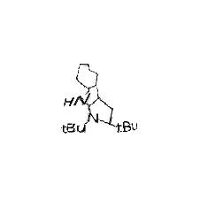 CC(C)(C)C1CC2C3CCCCC3NC2N1C(C)(C)C